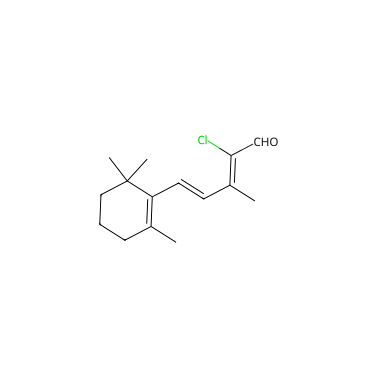 CC(C=CC1=C(C)CCCC1(C)C)=C(Cl)C=O